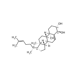 CC(C)=CCC[C@@H](C)[C@H]1CC[C@H]2[C@@H]3CC=C4[C@H](O)[C@@H](O)CC[C@]4(C)[C@H]3CC[C@]12C